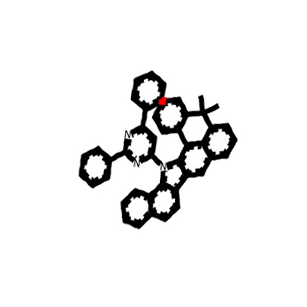 CC1(C)c2ccccc2-c2c3c1cccc3cc1c3ccc4ccccc4c3n(-c3cc(-c4ccccc4)nc(-c4ccccc4)n3)c21